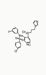 C[C@H](c1ccccc1OCCCn1ccnc1)N(c1cccc(F)c1)S(=O)(=O)c1ccc(Cl)cc1.Cl